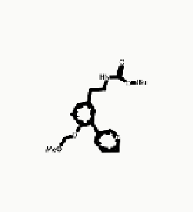 COCOc1ccc(CCNC(=O)OC(C)(C)C)cc1-c1cccnc1